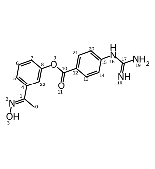 C/C(=N\O)c1cccc(OC(=O)c2ccc(NC(=N)N)cc2)c1